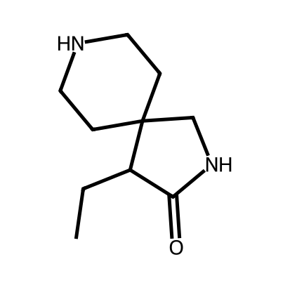 CCC1C(=O)NCC12CCNCC2